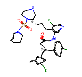 Cc1cc(F)cc([C@@H](CC(=O)Nc2cncc(F)c2CCC[C@H]2CNCCN2S(=O)(=O)N2CCCCC2)c2ccc(F)cc2)c1